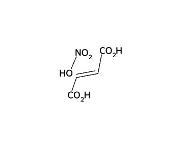 O=C(O)C=CC(=O)O.O=[N+]([O-])O